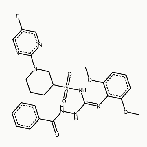 COc1cccc(OC)c1N=C(NNC(=O)c1ccccc1)NS(=O)(=O)C1CCCN(c2ncc(F)cn2)C1